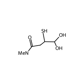 CNC(=O)CC(S)C(O)O